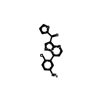 Nc1ccc(Cl)c(-c2ccnc3c(C(=O)c4cccs4)cnn23)c1